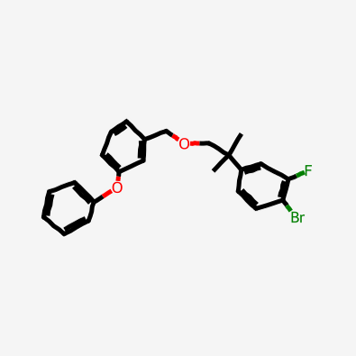 CC(C)(COCc1cccc(Oc2ccccc2)c1)c1ccc(Br)c(F)c1